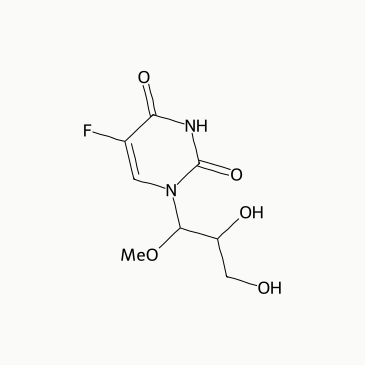 COC(C(O)CO)n1cc(F)c(=O)[nH]c1=O